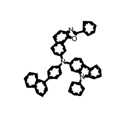 c1ccc(-c2nc3ccc4ccc(N(c5ccc(-c6cccc7ccccc67)cc5)c5ccc6c7ccccc7n(-c7ccccc7)c6c5)cc4c3o2)cc1